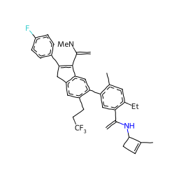 C=C(NC)C1=C(c2ccc(F)cc2)Cc2cc(CCC(F)(F)F)c(-c3cc(C(=C)NC4CC=C4C)c(CC)cc3C)cc21